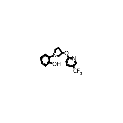 Oc1ccccc1N1CCC(Oc2ccc(C(F)(F)F)cn2)C1